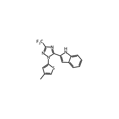 Cc1csc(-n2nc(C(F)(F)F)nc2-c2cc3ccccc3[nH]2)c1